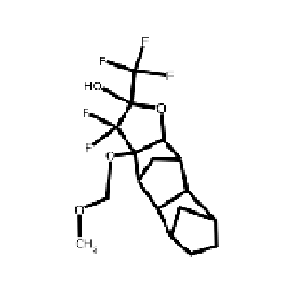 COCOC12C3CC(C4C5CCC(C5)C43)C1OC(O)(C(F)(F)F)C2(F)F